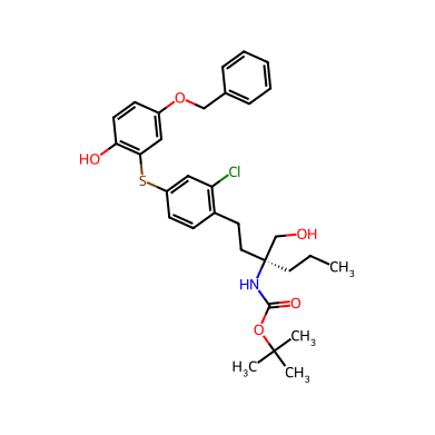 CCC[C@@](CO)(CCc1ccc(Sc2cc(OCc3ccccc3)ccc2O)cc1Cl)NC(=O)OC(C)(C)C